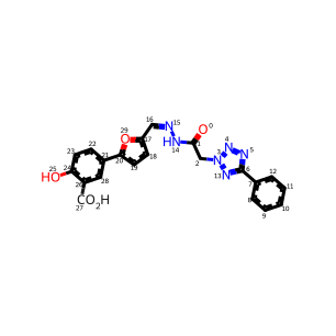 O=C(Cn1nnc(-c2ccccc2)n1)N/N=C\c1ccc(-c2ccc(O)c(C(=O)O)c2)o1